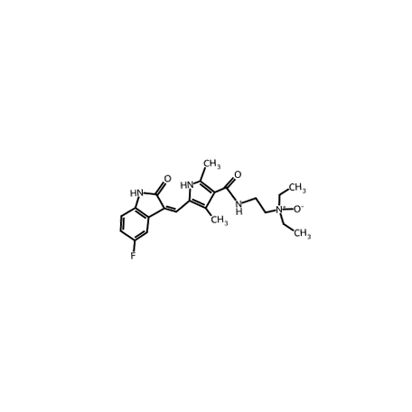 CC[N+]([O-])(CC)CCNC(=O)c1c(C)[nH]c(/C=C2\C(=O)Nc3ccc(F)cc32)c1C